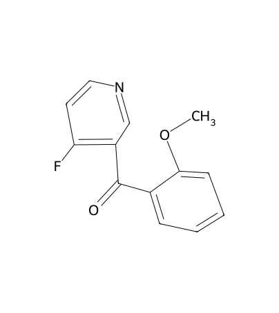 COc1ccccc1C(=O)c1cnccc1F